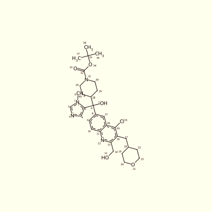 Cn1cncc1C(O)(c1ccc2nc(CO)c(CC3CCOCC3)c(Cl)c2c1)C1CCN(C(=O)OC(C)(C)C)CC1